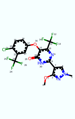 COc1nn(C)cc1-c1nc(C(F)(F)F)c(Oc2ccc(Cl)c(C(F)(F)F)c2)c(=O)[nH]1